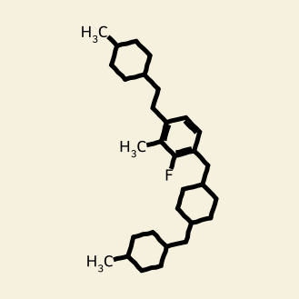 Cc1c(CCC2CCC(C)CC2)ccc(CC2CCC(CC3CCC(C)CC3)CC2)c1F